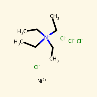 CC[N+](CC)(CC)CC.[Cl-].[Cl-].[Cl-].[Cl-].[Ni+2]